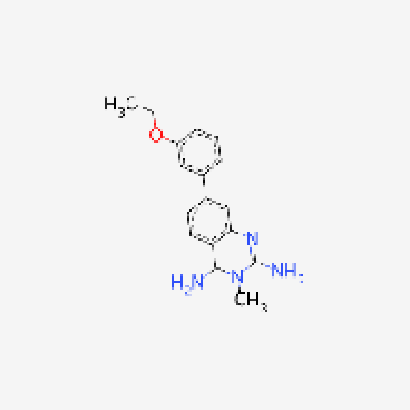 CCOc1cccc(-c2ccc3c(c2)N=C(N)N(C)C3N)c1